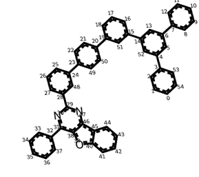 c1ccc(-c2cc(-c3ccccc3)cc(-c3cccc(-c4ccc(-c5cccc(-c6nc(-c7ccccc7)c7oc8ccccc8c7n6)c5)cc4)c3)c2)cc1